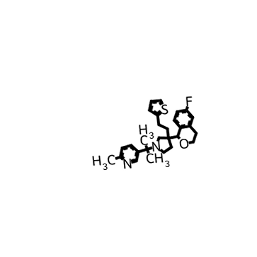 Cc1ccc(C(C)(C)N2CCC(CCc3cccs3)(C3OCCc4cc(F)ccc43)C2)cn1